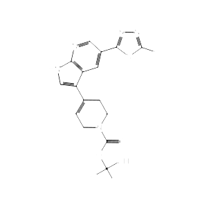 Cc1nnc(-c2cnc3[nH]cc(C4=CCN(C(=O)OC(C)(C)C)CC4)c3c2)s1